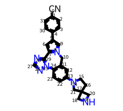 N#Cc1ccc(-c2cc3n(c2)Cc2cc(N4CCC5(CNC5)C4)ccc2-n2ncnc2-3)cc1